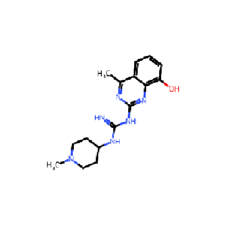 Cc1nc(NC(=N)NC2CCN(C)CC2)nc2c(O)cccc12